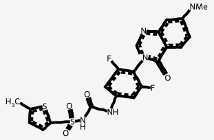 CNc1ccc2c(=O)n(-c3c(F)cc(NC(=O)NS(=O)(=O)c4ccc(C)s4)cc3F)cnc2c1